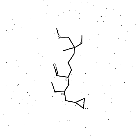 CC[C@H](CC1CC1)C[C@@H](C=O)CCCC(C)(CC)CSC